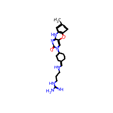 Cc1ccc2c(c1)Nc1nc(=O)n(C3CCC(=CNCCCNC(=N)N)CC3)cc1O2